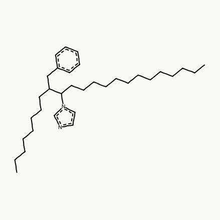 CCCCCCCCCCCCCC(C(CCCCCCCC)Cc1ccccc1)n1ccnc1